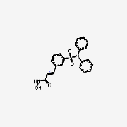 O=C(/C=C/c1cccc(S(=O)(=O)N(c2ccccc2)c2ccccc2)c1)NO